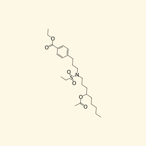 CCCCCC(CCCN(CCCc1ccc(C(=O)OCC)cc1)S(=O)(=O)CC)OC(C)=O